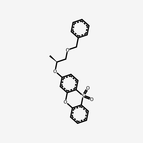 C[C@@H](COCc1ccccc1)Oc1ccc2c(c1)Oc1ccccc1S2(=O)=O